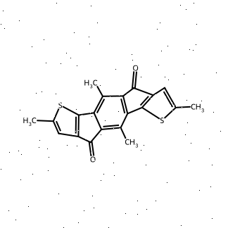 Cc1cc2c(=O)c3c(C)c4c(c(C)c3c2s1)c(=O)c1cc(C)sc14